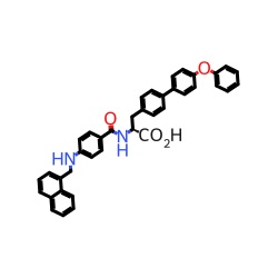 O=C(N[C@@H](Cc1ccc(-c2ccc(Oc3ccccc3)cc2)cc1)C(=O)O)c1ccc(NCc2cccc3ccccc23)cc1